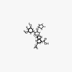 COc1cc(C(O)C(Cn2cc3nc(C4CC4)cc(C(=O)O)c3n2)OC2CCCC2)cc(OC)c1C